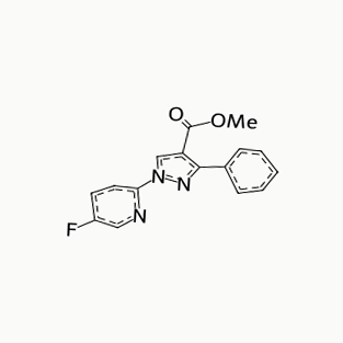 COC(=O)c1cn(-c2ccc(F)cn2)nc1-c1ccccc1